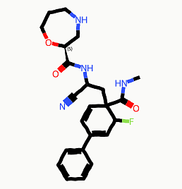 CNC(=O)C1(CC(C#N)NC(=O)[C@@H]2CNCCCO2)C=CC(c2ccccc2)=CC1F